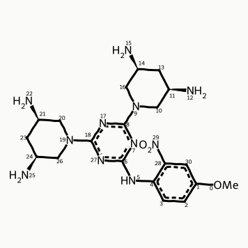 COc1ccc(Nc2nc(N3C[C@H](N)C[C@H](N)C3)nc(N3C[C@H](N)C[C@H](N)C3)n2)c([N+](=O)[O-])c1